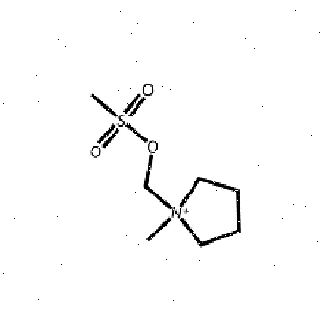 C[N+]1(COS(C)(=O)=O)CCCC1